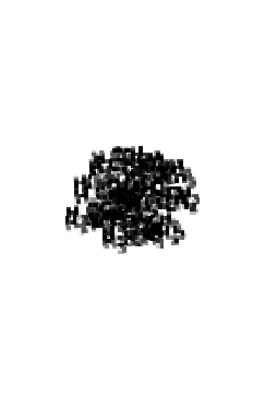 CC(C1=CC=CC(C)(C(C)c2cc(C(C)(C)C)cc(C(C)(C)C)c2)C1N1CCN(C2C(C(C)c3cc(C(C)(C)C)cc(C(C)(C)C)c3)=CC=CC2(C)C(C)c2cc(C(C)(C)C)cc(C(C)(C)C)c2)C1)c1cc(C(C)(C)C)cc(C(C)(C)C)c1.Cl